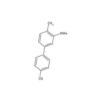 CNc1cc(-c2ccc(C#N)cc2)ccc1C